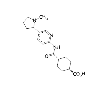 CN1CCCC1c1ccc(NC(=O)[C@H]2CC[C@H](C(=O)O)CC2)nc1